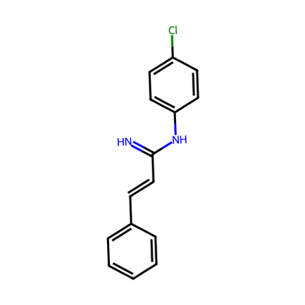 N=C(/C=C/c1ccccc1)Nc1ccc(Cl)cc1